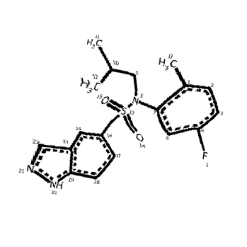 Cc1ccc(F)cc1N(CC(C)C)S(=O)(=O)c1ccc2[nH]ncc2c1